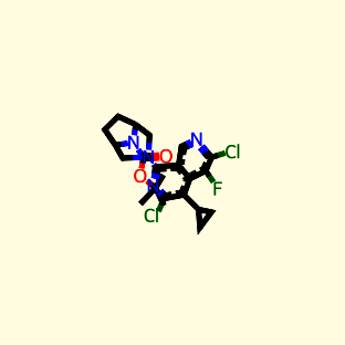 CC(C)(C)OC(=O)N1C2CCC1CN(c1nc(Cl)c(C3CC3)c3c(F)c(Cl)ncc13)C2